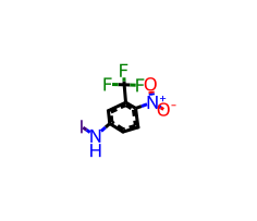 O=[N+]([O-])c1ccc(NI)cc1C(F)(F)F